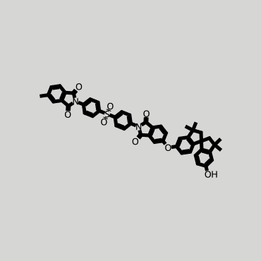 Cc1ccc2c(c1)C(=O)N(c1ccc(S(=O)(=O)c3ccc(N4C(=O)c5ccc(Oc6ccc7c(c6)C(C)(C)CC76CC(C)(C)c7cc(O)ccc76)cc5C4=O)cc3)cc1)C2=O